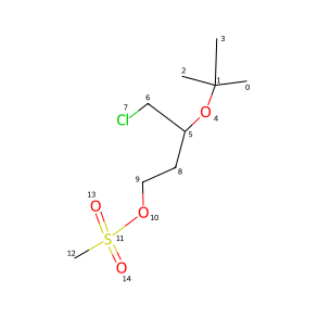 CC(C)(C)OC(CCl)CCOS(C)(=O)=O